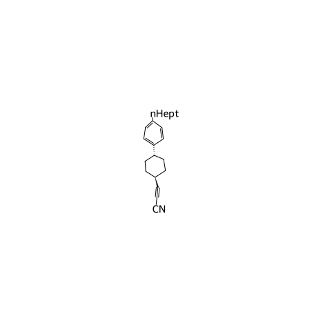 CCCCCCCc1ccc([C@H]2CC[C@H](C#CC#N)CC2)cc1